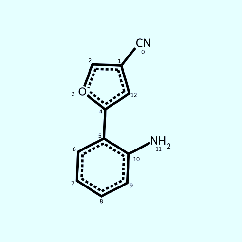 N#Cc1coc(-c2ccccc2N)c1